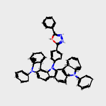 c1ccc(-c2nnc(-c3ccc(-n4c5c(ccc6c5c5ccccc5n6-c5ccccc5)c5ccc6c(c7ccccc7n6-c6ccccc6)c54)cc3)o2)cc1